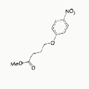 COC(=O)CCCOc1ccc([N+](=O)[O-])cc1